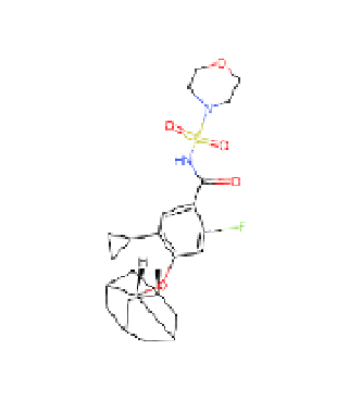 C[C@]12CC3CC(C1)[C@@H](Oc1cc(F)c(C(=O)NS(=O)(=O)N4CCOCC4)cc1C1CC1)C(C3)C2